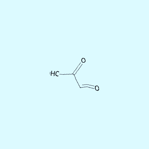 [CH]C(=O)C=O